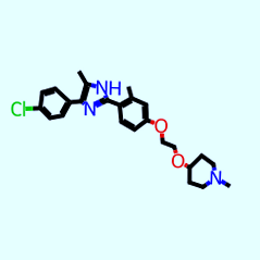 Cc1cc(OCCOC2CCN(C)CC2)ccc1-c1nc(-c2ccc(Cl)cc2)c(C)[nH]1